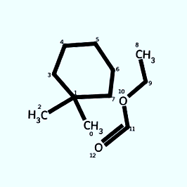 CC1(C)CCCCC1.CCOC=O